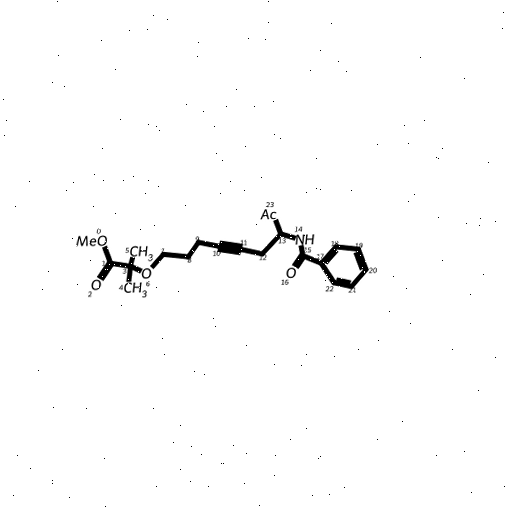 COC(=O)C(C)(C)OCCCC#CCC(NC(=O)c1ccccc1)C(C)=O